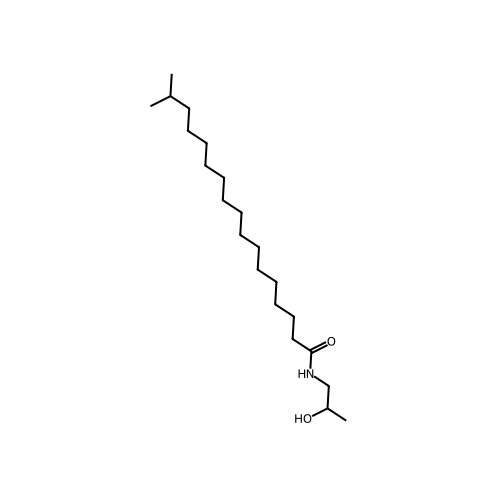 CC(C)CCCCCCCCCCCCCCC(=O)NCC(C)O